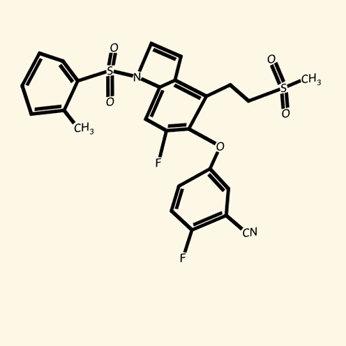 Cc1ccccc1S(=O)(=O)n1ccc2c(CCS(C)(=O)=O)c(Oc3ccc(F)c(C#N)c3)c(F)cc21